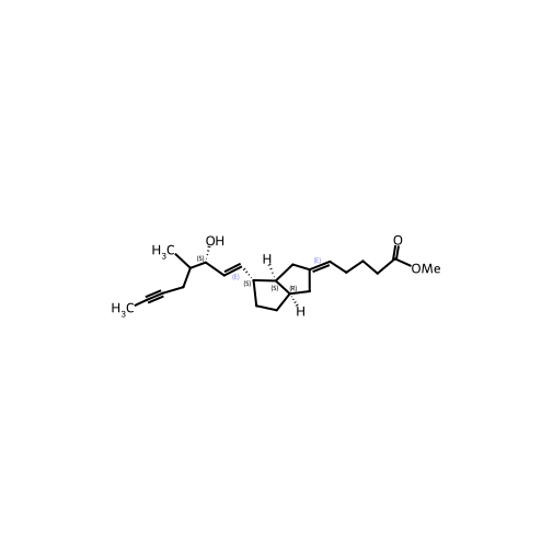 CC#CCC(C)[C@H](O)/C=C/[C@H]1CC[C@@H]2C/C(=C\CCCC(=O)OC)C[C@@H]21